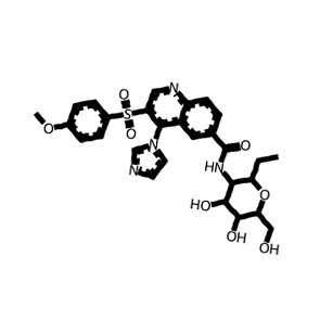 CCC1OC(CO)C(O)C(O)C1NC(=O)c1ccc2ncc(S(=O)(=O)c3ccc(OC)cc3)c(-n3ccnc3)c2c1